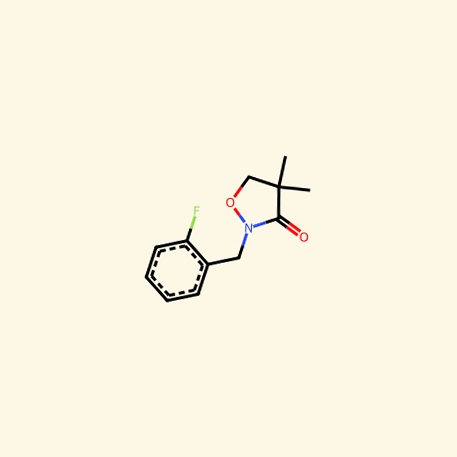 CC1(C)CON(Cc2ccccc2F)C1=O